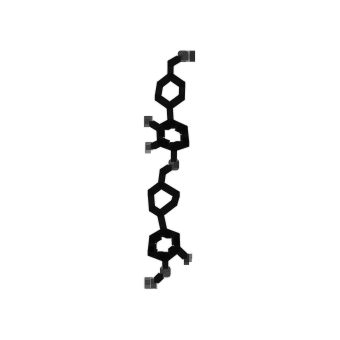 CCOc1ccc(C2CCC(COc3ccc(C4CCC(CO)CC4)c(F)c3F)CC2)cc1F